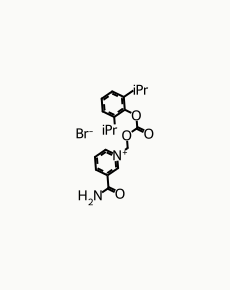 CC(C)c1cccc(C(C)C)c1OC(=O)OC[n+]1cccc(C(N)=O)c1.[Br-]